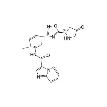 Cc1ccc(-c2noc([C@H]3CC(=O)CN3)n2)cc1NC(=O)c1cnc2ccccn12